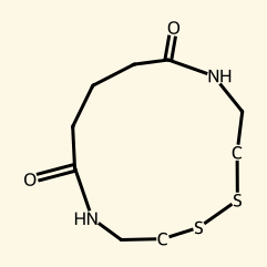 O=C1CCCC(=O)NCCSSCCN1